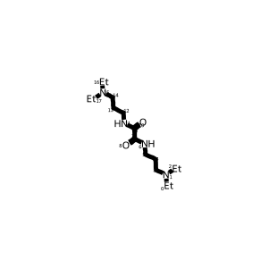 CCN(CC)CCCNC(=O)C(=O)NCCCN(CC)CC